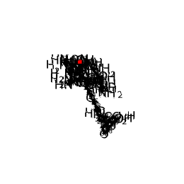 N=C(N)NCC1OC(OC2C(CSCCOCCSCC(=O)Nc3ccc(-c4c5ccc(=O)cc-5oc5cc(O)ccc45)c(C(=O)O)c3)OC(OC3C(O)C(NC(=N)N)CC(NC(=N)N)C3OC3OC(CNC(=N)N)C(O)C(O)C3NC(=N)N)C2O)C(NC(=N)N)C(O)C1O